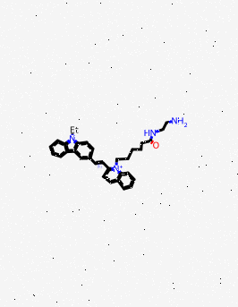 CCn1c2ccccc2c2cc(/C=C/c3ccc4ccccc4[n+]3CCCCCC(=O)NCCN)ccc21